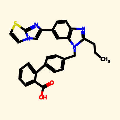 CCCc1nc2ccc(-c3cn4ccsc4n3)cc2n1Cc1ccc(-c2ccccc2C(=O)O)cc1